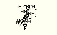 CC1CC(OC(=N)c2cnc(NC(=O)N[C@@H](c3ccc(F)cc3)C(C)(C)O)cc2N)CC(C)O1